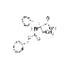 C=C[C@@](Cc1ccccc1)(NC(=O)OCc1ccccc1)C(=O)O